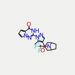 Cc1c(C(=O)N2C3CCC2CC(C(F)(F)F)C3)cnn1-c1nn2cccc2c(=O)[nH]1